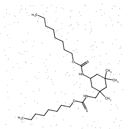 CCCCCCCCOC(=S)NCC1(C)CC(NC(=S)OCCCCCCCC)CC(C)(C)C1